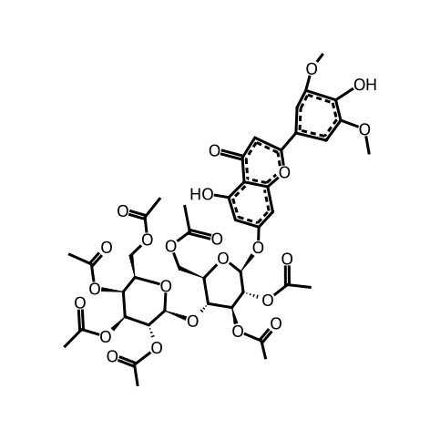 COc1cc(-c2cc(=O)c3c(O)cc(O[C@@H]4O[C@H](COC(C)=O)[C@@H](O[C@@H]5O[C@H](COC(C)=O)[C@H](OC(C)=O)[C@H](OC(C)=O)[C@H]5OC(C)=O)[C@H](OC(C)=O)[C@H]4OC(C)=O)cc3o2)cc(OC)c1O